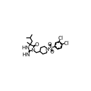 CC(C)CC1(C)NC(=N)N(CC2CCN(S(=O)(=O)c3ccc(Cl)c(Cl)c3)CC2)C1=O